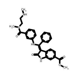 CNCCN(C)C(=O)c1cccc(N/C(=C2\C(=O)Nc3cc(C(=O)OC)ccc32)c2ccccc2)c1